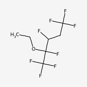 CCOC(F)(C(F)CC(F)(F)F)C(F)(F)F